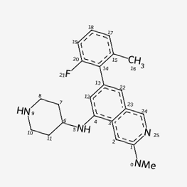 CNc1cc2c(NC3CCNCC3)cc(-c3c(C)cccc3F)cc2cn1